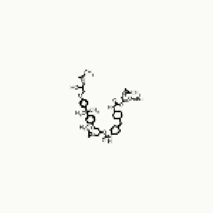 CCCCOCC(CN1CC1C)OC(=O)NC1CCC(CC2CCC(NC(=O)OC(COc3ccc(C(C)(C)c4ccc(OCC(O)CN5CC5C)cc4)cc3)CN3CC3C)CC2)CC1